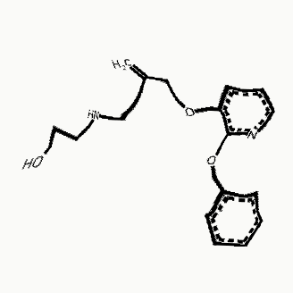 C=C(CNCCO)COc1cccnc1Oc1ccccc1